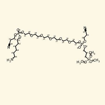 CO[Si](CCCOP(=O)(OCCC#N)OCCOCCOCCOCCOCCOCCOP(=O)(OCCC#N)OCCCCCCN)(OC)OC